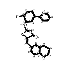 O=C1N=C(Nc2cc(-c3ccccn3)ccc2Cl)SC1=Cc1ccc2ncccc2c1